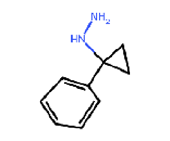 NNC1(c2ccccc2)CC1